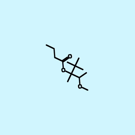 CCCC(=O)OC(C)(C(C)OC)C(C)(C)C